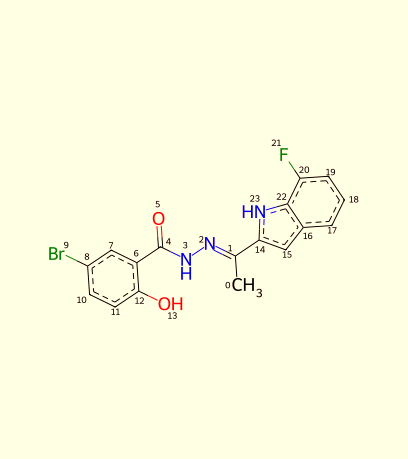 C/C(=N\NC(=O)c1cc(Br)ccc1O)c1cc2cccc(F)c2[nH]1